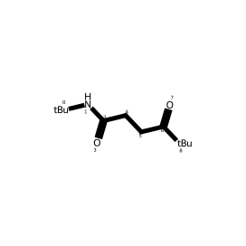 CC(C)(C)NC(=O)CCC(=O)C(C)(C)C